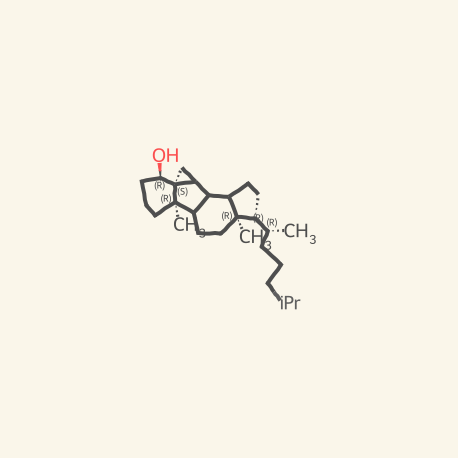 CC(C)CCC[C@@H](C)[C@H]1CCC2C3C(CC[C@@]21C)[C@@]1(C)CCC[C@@H](O)[C@]12CC32